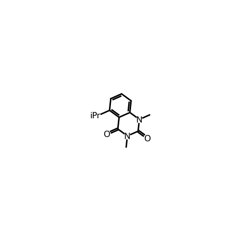 CC(C)c1cccc2c1c(=O)n(C)c(=O)n2C